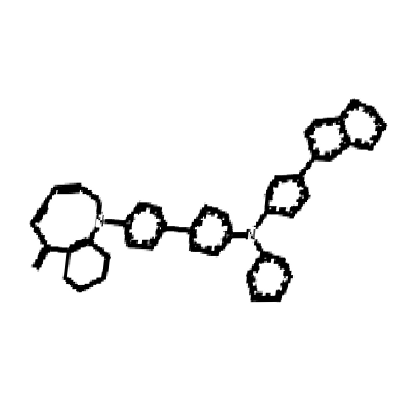 C=C1/C=C\C=C/CN(c2ccc(-c3ccc(N(c4ccccc4)c4ccc(-c5ccc6ccccc6c5)cc4)cc3)cc2)C2=C1CCCC2